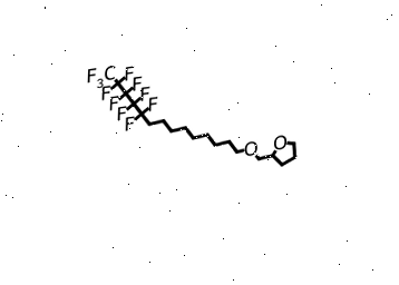 FC(F)(F)C(F)(F)C(F)(F)C(F)(F)C(F)(F)CCCCCCCCCOCC1CCCO1